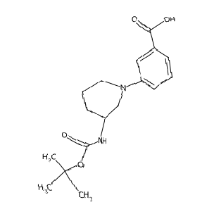 CC(C)(C)OC(=O)NC1CCCN(c2cccc(C(=O)O)c2)C1